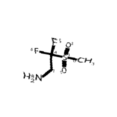 CS(=O)(=O)C(F)(F)CN